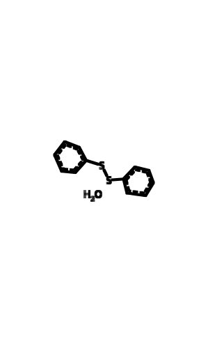 O.c1ccc(SSc2ccccc2)cc1